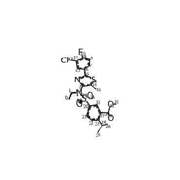 CCN(c1nc(-c2ccc(F)c(Cl)c2)sc1C)S(=O)(=O)c1ccc(C(C)C)c(C(=O)OC)c1